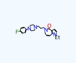 CCn1ccc2c1C=CCN(CCCN1CCN(c3ccc(F)cc3)CC1)C2=O